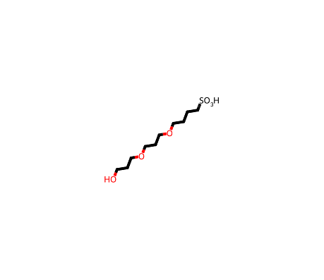 O=S(=O)(O)CCCCOCCCOCCCO